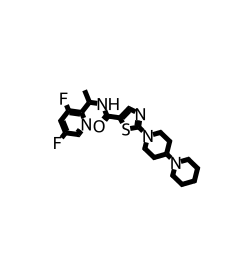 CC(NC(=O)c1cnc(N2CCC(N3CCCCC3)CC2)s1)c1ncc(F)cc1F